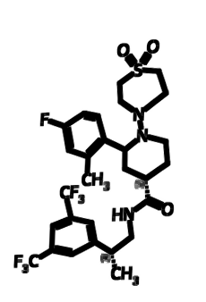 Cc1cc(F)ccc1C1C[C@@H](C(=O)NC[C@H](C)c2cc(C(F)(F)F)cc(C(F)(F)F)c2)CCN1N1CCS(=O)(=O)CC1